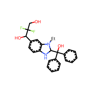 CCN1c2cc(C(O)C(F)(F)CO)ccc2NC1C(O)(c1ccccc1)c1ccccc1